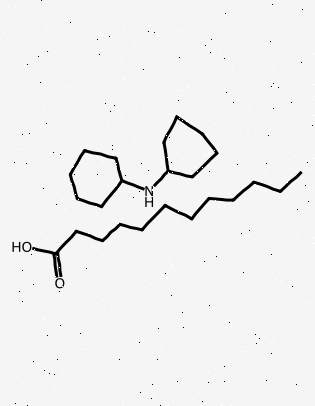 C1CCC(NC2CCCCC2)CC1.CCCCCCCCCCCC(=O)O